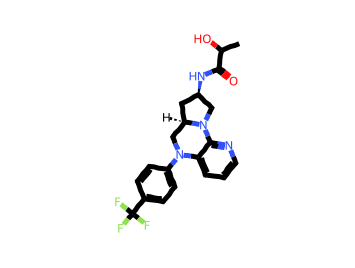 CC(O)C(=O)N[C@@H]1C[C@@H]2CN(c3ccc(C(F)(F)F)cc3)c3cccnc3N2C1